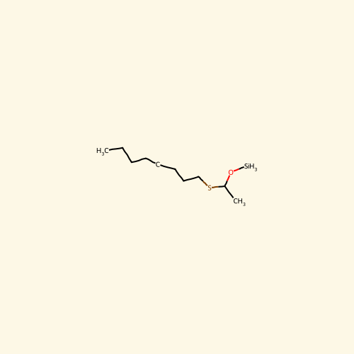 CCCCCCCCSC(C)O[SiH3]